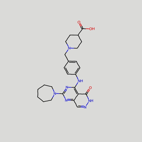 O=C(O)C1CCN(Cc2ccc(Nc3nc(N4CCCCCC4)nc4cn[nH]c(=O)c34)cc2)CC1